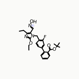 CCOc1nc(CC)c(/C=N/O)n1Cc1ccc(-c2ccccc2C(=O)OC(C)(C)C)cc1F